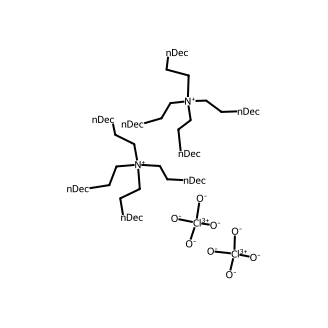 CCCCCCCCCCCC[N+](CCCCCCCCCCCC)(CCCCCCCCCCCC)CCCCCCCCCCCC.CCCCCCCCCCCC[N+](CCCCCCCCCCCC)(CCCCCCCCCCCC)CCCCCCCCCCCC.[O-][Cl+3]([O-])([O-])[O-].[O-][Cl+3]([O-])([O-])[O-]